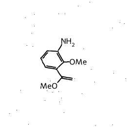 C=C(OC)c1cccc(N)c1OC